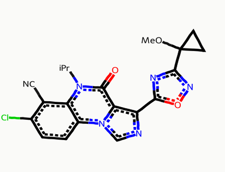 COC1(c2noc(-c3ncn4c3c(=O)n(C(C)C)c3c(C#N)c(Cl)ccc34)n2)CC1